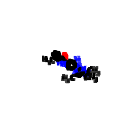 Cc1cccc(C(=O)NC2CCC(Nc3nc(C)cc(N(C)C)n3)CC2)c1